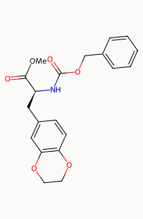 COC(=O)[C@H](Cc1ccc2c(c1)OCCO2)NC(=O)OCc1ccccc1